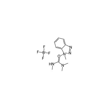 CNC(=[O+][N+]1(C)N=Nc2ccccc21)N(C)C.F[B-](F)(F)F